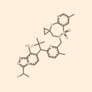 Cc1cnc2c(c1)S(=O)(=O)N(Cc1nc(C(c3ccn4c(C(F)F)nnc4c3C)C(C)(C)C(=O)O)ccc1C)CC1(CC1)O2